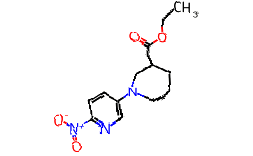 CCOC(=O)C1CCCN(c2ccc([N+](=O)[O-])nc2)C1